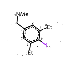 CCc1cc(CNC)cc(CC)c1I